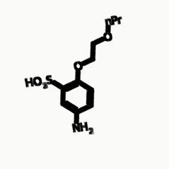 CCCOCCOc1ccc(N)cc1S(=O)(=O)O